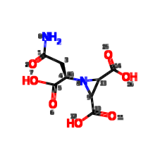 NC(=O)C[C@H](C(=O)O)N1C(C(=O)O)C1C(=O)O